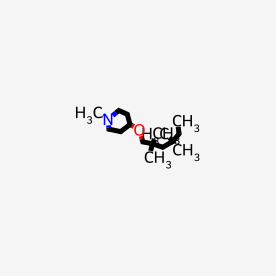 CCC(C)(C)CC(C)(C)COC1CCN(C)CC1